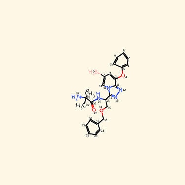 Bc1cc(Oc2ccccc2)c2nnc([C@@H](COCc3ccccc3)NC(=O)C(C)(C)N)n2c1